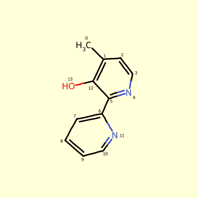 Cc1ccnc(-c2ccccn2)c1O